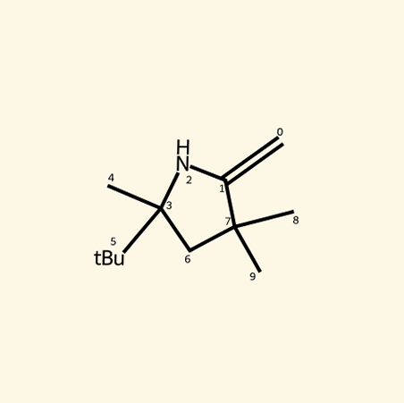 C=C1NC(C)(C(C)(C)C)CC1(C)C